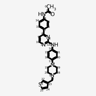 CC(=O)Nc1ccc(-c2ccnc(Nc3ccc(N4CCN(Cc5ccsc5)CC4)cc3)n2)cc1